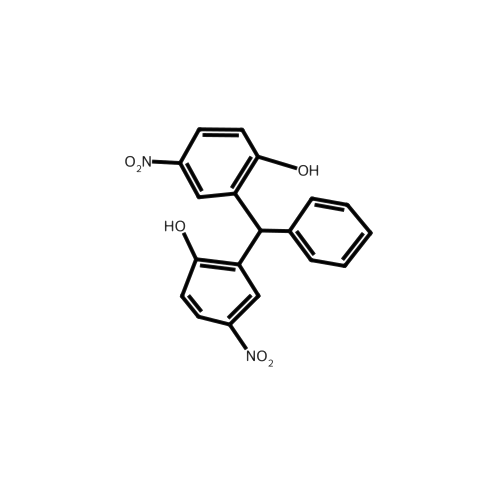 O=[N+]([O-])c1ccc(O)c(C(c2ccccc2)c2cc([N+](=O)[O-])ccc2O)c1